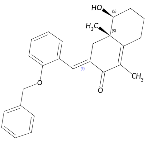 CC1=C2CCC[C@H](O)[C@@]2(C)C/C(=C\c2ccccc2OCc2ccccc2)C1=O